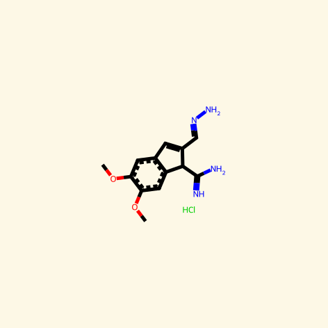 COc1cc2c(cc1OC)C(C(=N)N)C(C=NN)=C2.Cl